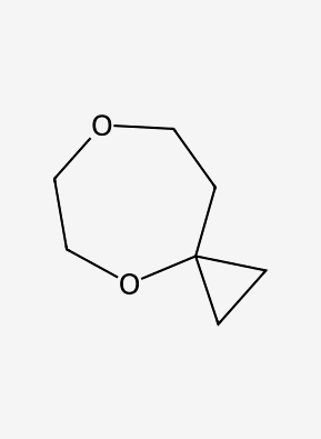 C1COC2(CCO1)CC2